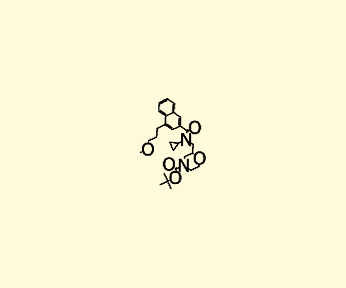 COCCCc1cc(C(=O)N(CC2CN(C(=O)OC(C)(C)C)CCO2)C2CC2)cc2ccccc12